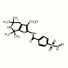 CCNS(=O)(=O)c1ccc(C(=O)Nc2sc3c(c2C(=O)OCC)CC(C)(C)NC3(C)C)cc1